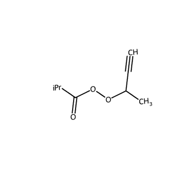 C#CC(C)OOC(=O)C(C)C